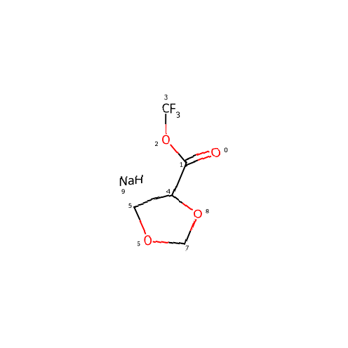 O=C(OC(F)(F)F)C1COCO1.[NaH]